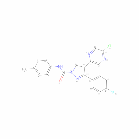 O=C(Nc1ccc(C(F)(F)F)cc1)N1CC(c2cnc(Cl)cn2)C(c2ccc(F)cc2)=N1